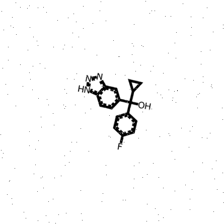 OC(c1ccc(F)cc1)(c1ccc2[nH]nnc2c1)C1CC1